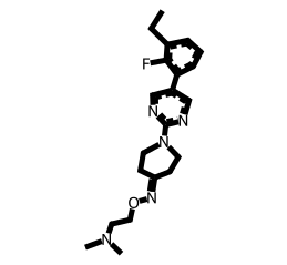 CCc1cccc(-c2cnc(N3CCC(=NOCCN(C)C)CC3)nc2)c1F